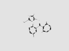 CCCc1nc(CO)n(-c2ccc(Cl)cc2C(=O)c2c(F)cccc2F)c1CCC